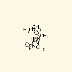 CC(=NNc1cc(-c2ccccc2F)nc(C)n1)c1ccc(N(C)C)cc1